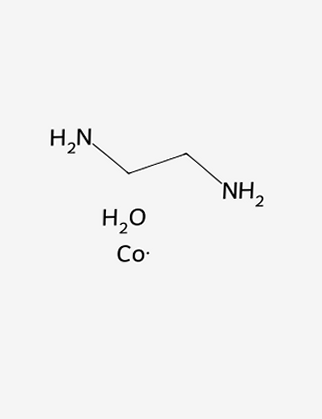 NCCN.O.[Co]